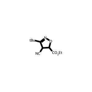 CCOC(=O)C1ON=C(C(C)(C)C)C1C#N